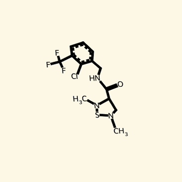 CN1CC(C(=O)NCc2cccc(C(F)(F)F)c2Cl)N(C)S1